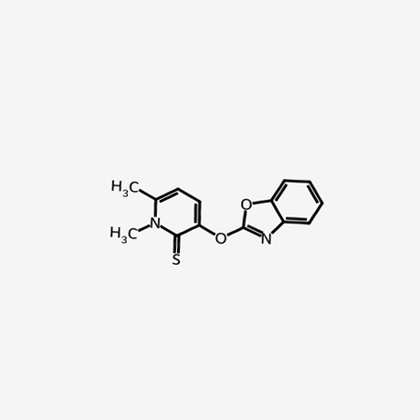 Cc1ccc(Oc2nc3ccccc3o2)c(=S)n1C